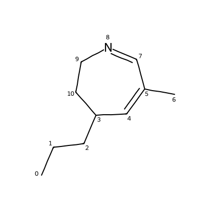 CCCC1C=C(C)C=NCC1